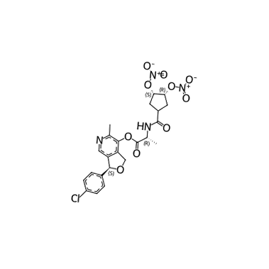 Cc1ncc2c(c1OC(=O)[C@@H](C)NC(=O)C1C[C@H](O[N+](=O)[O-])[C@H](O[N+](=O)[O-])C1)CO[C@H]2c1ccc(Cl)cc1